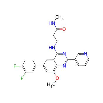 CNC(=O)CCNc1nc(-c2cccnc2)nc2c(OC)cc(-c3ccc(F)c(F)c3)cc12